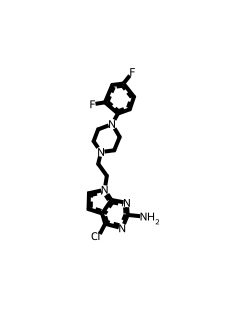 Nc1nc(Cl)c2ccn(CCN3CCN(c4ccc(F)cc4F)CC3)c2n1